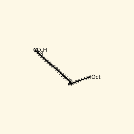 CCCCCCCCC=CCCCCCCCCCCCC(=O)OCCCCCCCCCCCCCCCCCCCCCCCCCCCCCCCCCC(=O)O